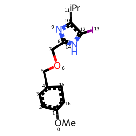 COc1ccc(COCc2nc(C(C)C)c(I)[nH]2)cc1